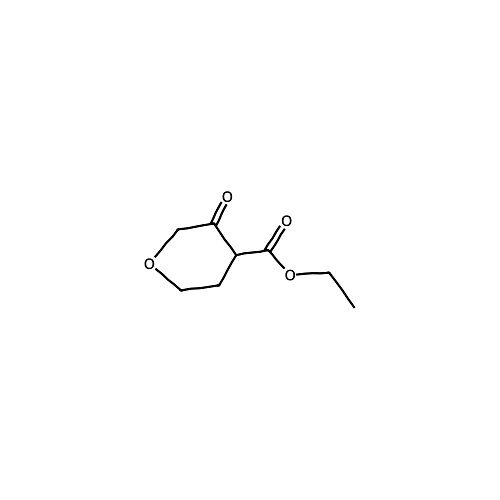 CCOC(=O)C1CCOCC1=O